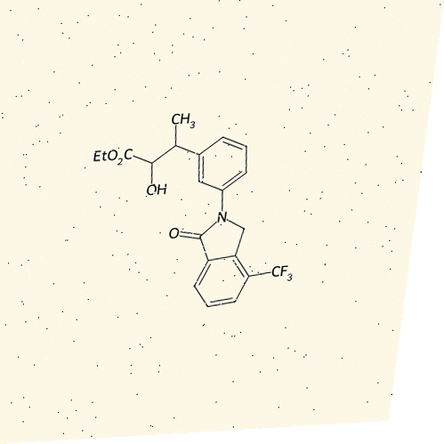 CCOC(=O)C(O)C(C)c1cccc(N2Cc3c(cccc3C(F)(F)F)C2=O)c1